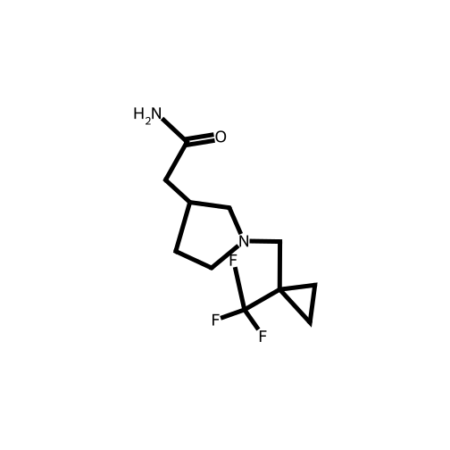 NC(=O)CC1CCN(CC2(C(F)(F)F)CC2)C1